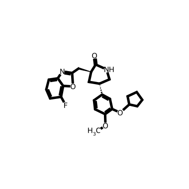 COc1ccc([C@H]2CNC(=O)[C@H](Cc3nc4cccc(F)c4o3)C2)cc1OC1CCCC1